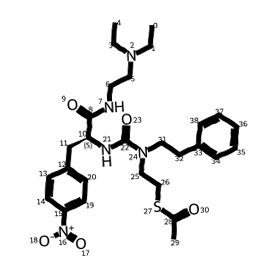 CCN(CC)CCNC(=O)[C@H](Cc1ccc([N+](=O)[O-])cc1)NC(=O)N(CCSC(C)=O)CCc1ccccc1